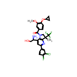 COc1cc(C(=O)NCC(C)(c2cc(C(N)CO)cc(-c3ccc(F)c(Cl)c3)n2)C(F)(F)F)ccc1OC1CC1